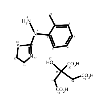 Cc1ccccc1N(N)C1=NCCS1.O=C(O)CC(O)(CC(=O)O)C(=O)O